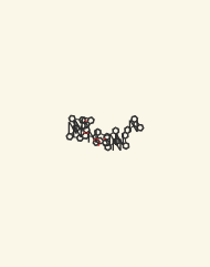 c1ccc(-c2ccccc2-c2nc(-c3ccccc3-c3ccc4cc(-n5c6ccccc6c6c(-c7cccc(-c8ccccc8-c8nc(-c9ccccc9-c9ccc%10ccc(-n%11c%12ccccc%12c%12ccccc%12%11)cc%10c9)nc(-c9cccc%10c9sc9ccccc9%10)n8)c7)cccc65)ccc4c3)nc(-c3cccc4c3sc3ccccc34)n2)cc1